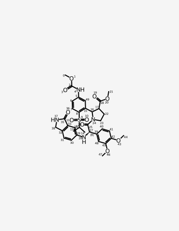 COC(=O)Nc1ccc(S(=O)(=O)C(C)C)c(C2C(C(=O)OC)CCN2C(=O)[C@H](Nc2ccc3c(c2)C(=O)NC3)c2ccc(OC)c(OC)c2)c1